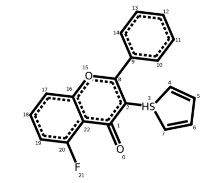 O=c1c([SH]2C=CC=C2)c(-c2ccccc2)oc2cccc(F)c12